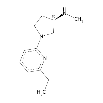 CCc1cccc(N2CC[C@@H](NC)C2)n1